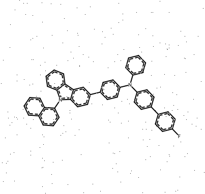 Fc1ccc(-c2ccc(N(c3ccccc3)c3ccc(-c4ccc5c(c4)c4ccccc4n5-c4cccc5ccccc45)cc3)cc2)cc1